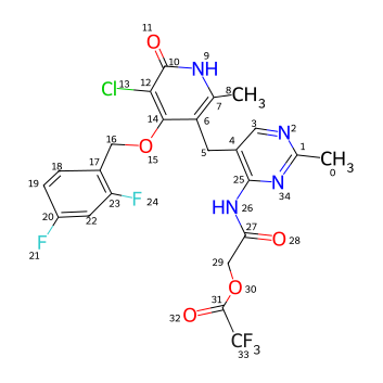 Cc1ncc(Cc2c(C)[nH]c(=O)c(Cl)c2OCc2ccc(F)cc2F)c(NC(=O)COC(=O)C(F)(F)F)n1